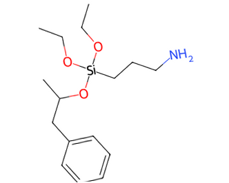 CCO[Si](CCCN)(OCC)OC(C)Cc1ccccc1